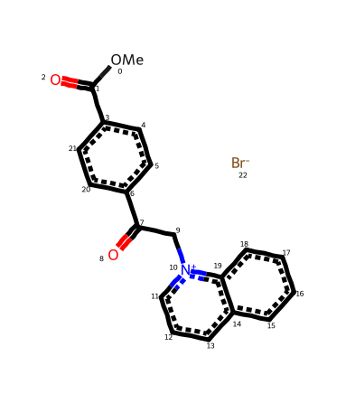 COC(=O)c1ccc(C(=O)C[n+]2cccc3ccccc32)cc1.[Br-]